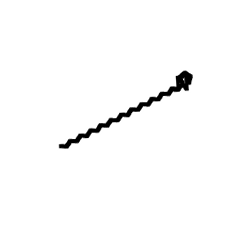 CCCCCCCCCCCCCCCCCCCCCCC=Cn1cccc1